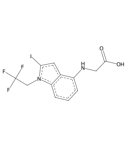 O=C(O)CNc1cccc2c1cc(I)n2CC(F)(F)F